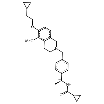 COc1c(OCCC2CC2)ccc2c1CCN(Cc1ccc([C@H](C)NC(=O)C3CC3)cc1)C2